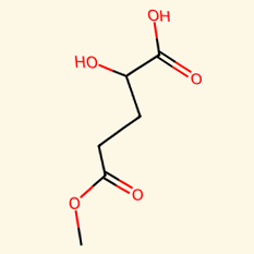 COC(=O)CCC(O)C(=O)O